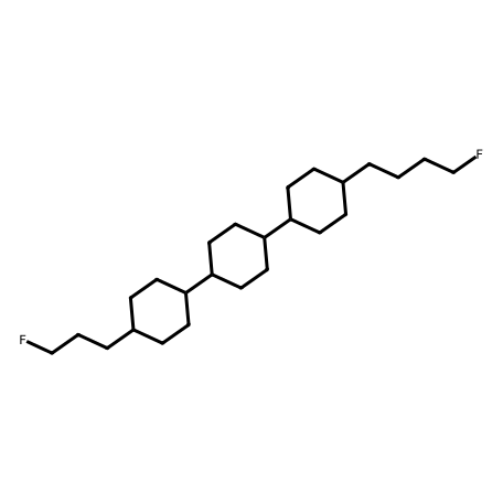 FCCCCC1CCC(C2CCC(C3CCC(CCCF)CC3)CC2)CC1